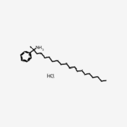 CCCCCCCCCCCCCCCCCCC(C)(N)c1ccccc1.Cl